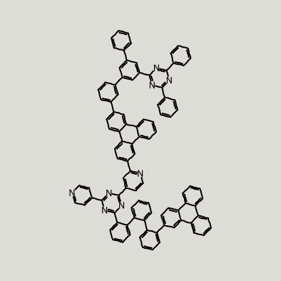 c1ccc(-c2cc(-c3cccc(-c4ccc5c6ccc(-c7cc(-c8nc(-c9ccncc9)nc(-c9ccccc9-c9ccccc9-c9ccccc9-c9ccc%10c%11ccccc%11c%11ccccc%11c%10c9)n8)ccn7)cc6c6ccccc6c5c4)c3)cc(-c3nc(-c4ccccc4)nc(-c4ccccc4)n3)c2)cc1